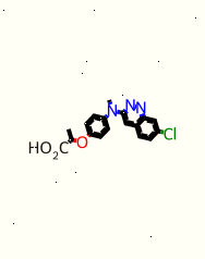 CC(Oc1ccc(N(C)c2cc3ccc(Cl)cc3nn2)cc1)C(=O)O